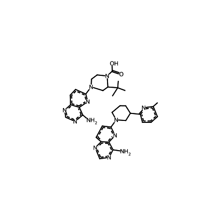 CC(C)(C)C1CN(c2ccc3ncnc(N)c3n2)CCN1C(=O)O.Cc1cccc(C2CCCN(c3ccc4ncnc(N)c4n3)C2)n1